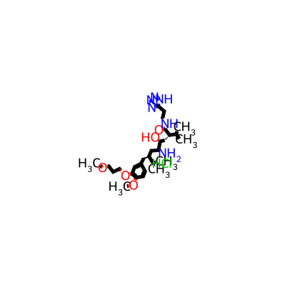 COCCCOc1cc(C[C@@H](C[C@H](N)[C@@H](O)C[C@H](C(=O)NCCc2nnn[nH]2)C(C)C)C(C)C)ccc1OC.Cl